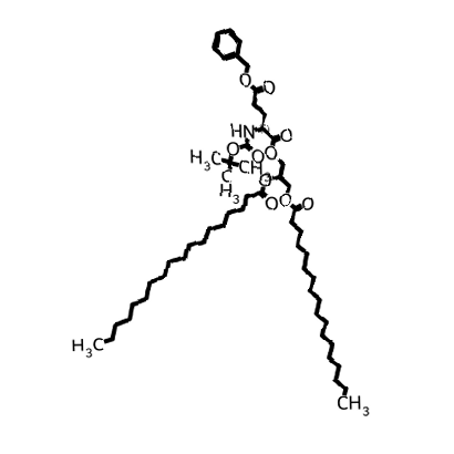 CCCCCCCCCCCCCCCCCC(=O)OCC(COC(=O)[C@H](CCC(=O)OCc1ccccc1)NC(=O)OC(C)(C)C)OC(=O)CCCCCCCCCCCCCCCCC